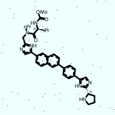 CCCN(Cc1ncc(-c2ccc3cc(-c4ccc(-c5cnc([C@@H]6CCCN6)[nH]5)cc4)ccc3c2)[nH]1)C(=O)[C@@H](NC(=O)OC)C(C)C